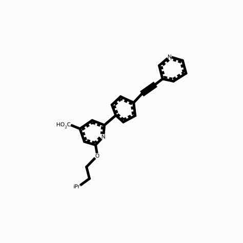 CC(C)CCOc1cc(C(=O)O)cc(-c2ccc(C#Cc3cccnc3)cc2)n1